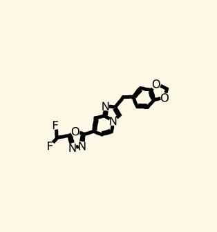 FC(F)c1nnc(-c2ccn3cc(Cc4ccc5c(c4)OCO5)nc3c2)o1